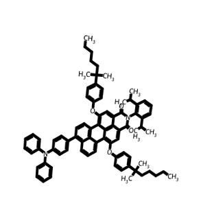 CCCCCC(C)(C)c1ccc(Oc2cc3c4c(cc(Oc5ccc(C(C)(C)CCCCC)cc5)c5c6ccc(-c7ccc(N(c8ccccc8)c8ccccc8)cc7)c7cccc(c2c45)c76)C(=O)N(c2c(C(C)C)cccc2C(C)C)C3=O)cc1